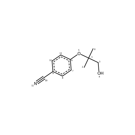 CC(C)(CO)Oc1ccc(C#N)cc1